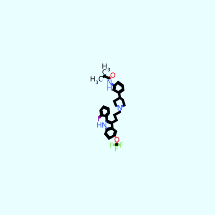 CC(C)C(=O)Nc1cccc(C2CCN(CCCc3c(-c4ccccc4I)[nH]c4ccc(OC(F)(F)F)cc34)CC2)c1